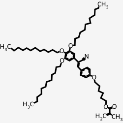 C=C(C)C(=O)OCCCCCCOc1ccc(/C=C(\C#N)c2cc(OCCCCCCCCCCCC)c(OCCCCCCCCCCCC)c(OCCCCCCCCCCCC)c2)cc1